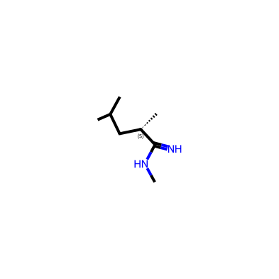 CNC(=N)[C@@H](C)CC(C)C